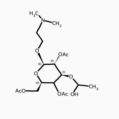 CC(=O)OC[C@H]1O[C@@H](OCCN(C)C)[C@H](OC(C)=O)[C@@H](OC(C)O)C1OC(C)=O